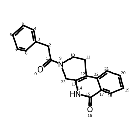 O=C(Cc1ccccc1)N1CCc2c([nH]c(=O)c3ccccc23)C1